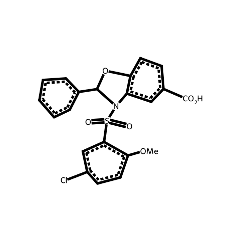 COc1ccc(Cl)cc1S(=O)(=O)N1c2cc(C(=O)O)ccc2OC1c1ccccc1